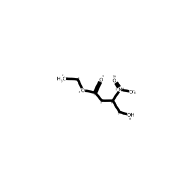 CCOC(=O)CC(CO)[N+](=O)[O-]